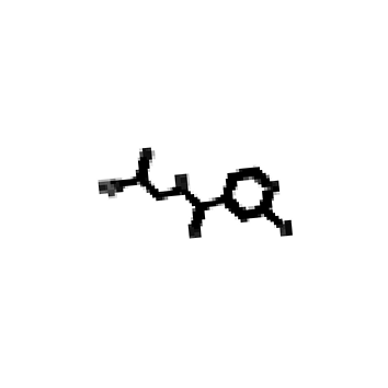 NC(=O)CNC(=O)c1ccnc(Cl)c1